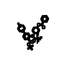 CN1CCN(c2ccc(C(=O)OC(C)(C)C)c(N(C(=O)C(F)(F)F)[C@H]3CC[C@H](OC(=O)c4ccccc4)CC3)c2)CC1